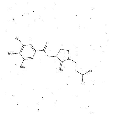 CCC(CC)CCN1CCC(CC(=O)c2cc(C(C)(C)C)c(O)c(C(C)(C)C)c2)C1=N